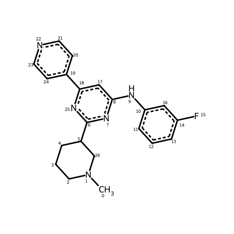 CN1CCCC(c2nc(Nc3cccc(F)c3)cc(-c3ccncc3)n2)C1